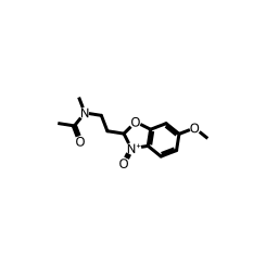 COc1ccc2c(c1)OC(CCN(C)C(C)=O)[N+]2=O